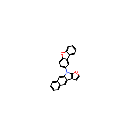 c1ccc2cc3c(cc2c1)c1ccoc1n3-c1ccc2oc3ccccc3c2c1